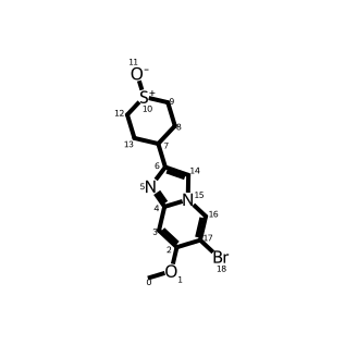 COc1cc2nc(C3CC[S+]([O-])CC3)cn2cc1Br